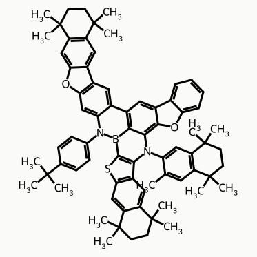 Cc1cc2c(cc1N1c3c(sc4cc5c(cc34)C(C)(C)CCC5(C)C)B3c4c(cc5c(oc6ccccc65)c41)-c1cc4c(cc1N3c1ccc(C(C)(C)C)cc1)oc1cc3c(cc14)C(C)(C)CCC3(C)C)C(C)(C)CCC2(C)C